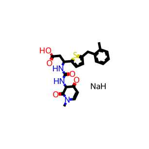 Cc1ccccc1Cc1ccc(C(CC(=O)O)NC(=O)NC2C(=O)C=CN(C)C2=O)s1.[NaH]